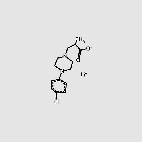 CC(CN1CCN(c2ccc(Cl)cc2)CC1)C(=O)[O-].[Li+]